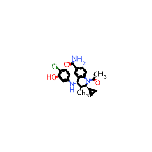 CC(=O)N1c2ccc(C(N)=O)cc2[C@H](Nc2ccc(Cl)c(O)c2)[C@@H](C)[C@@H]1C1CC1